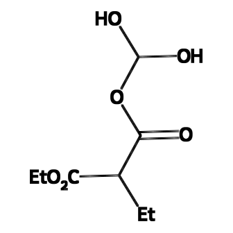 CCOC(=O)C(CC)C(=O)OC(O)O